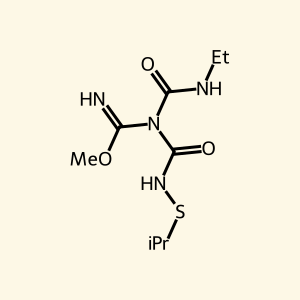 CCNC(=O)N(C(=N)OC)C(=O)NSC(C)C